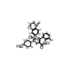 Cc1cccc2cc(CN([C@H]3CC[C@H](O)CC3)S(=O)(=O)c3ccc4c(c3)OCCN4C)c(=O)[nH]c12